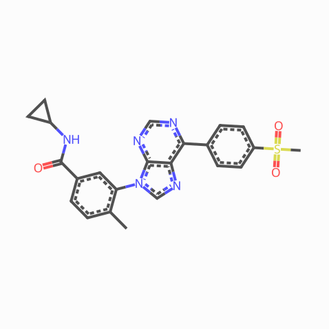 Cc1ccc(C(=O)NC2CC2)cc1-n1cnc2c(-c3ccc(S(C)(=O)=O)cc3)ncnc21